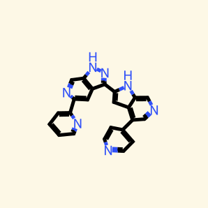 c1ccc(-c2cc3c(-c4cc5c(-c6ccncc6)cncc5[nH]4)n[nH]c3cn2)nc1